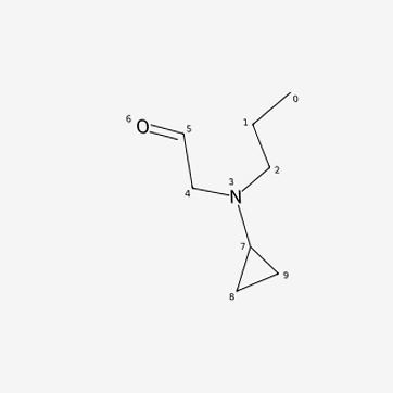 CCCN(CC=O)C1CC1